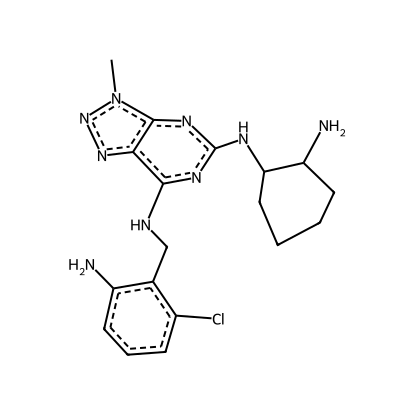 Cn1nnc2c(NCc3c(N)cccc3Cl)nc(NC3CCCCC3N)nc21